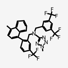 Cc1ccc(-c2ccc(C(F)(F)F)cc2CN(Cc2cc(C(F)(F)F)cc(C(F)(F)F)c2)c2nnn(C)n2)c2ccccc12